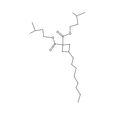 CCCCCCCCC1CC(C(=O)OCCC(C)C)(C(=O)OCCC(C)C)C1